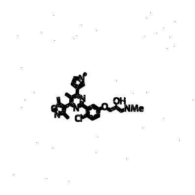 CNC[C@@H](O)COc1ccc(Cl)c(-c2nc(-c3ccn(C)c3)c(C)c(-c3c(C)noc3C)n2)c1